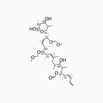 C=C/C=C\[C@H](C)[C@H](OC=O)C(C)[C@H](O)C(C)C/C(C)=C\[C@H](C)[C@@H](OCOC)[C@@H](C)/C=C\[C@H](C[C@@H]1O[C@@H](O)[C@H](C)[C@@H](O)C1C)OCOC